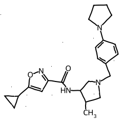 CC1CN(Cc2ccc(N3CCCC3)cc2)CC1NC(=O)c1cc(C2CC2)on1